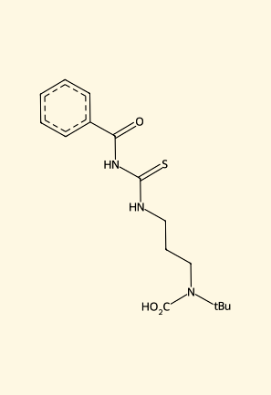 CC(C)(C)N(CCCNC(=S)NC(=O)c1ccccc1)C(=O)O